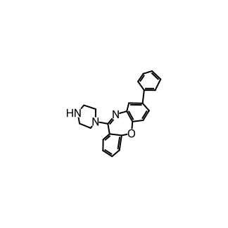 c1ccc(-c2ccc3c(c2)N=C(N2CCNCC2)c2ccccc2O3)cc1